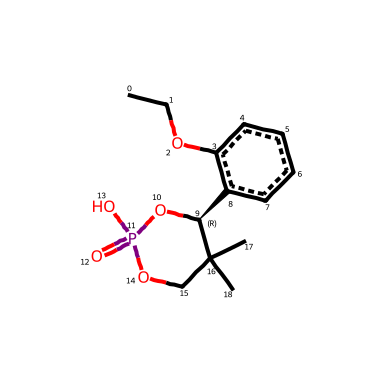 CCOc1ccccc1[C@@H]1OP(=O)(O)OCC1(C)C